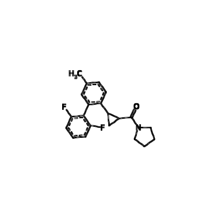 Cc1ccc(C2CC2C(=O)N2CCCC2)c(-c2c(F)cccc2F)c1